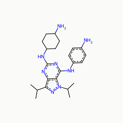 CC(C)c1nn(C(C)C)c2c(Nc3ccc(N)cc3)nc(NC3CCC(N)CC3)nc12